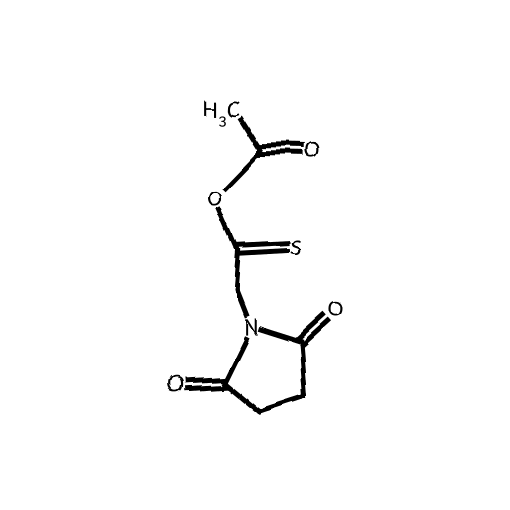 CC(=O)OC(=S)CN1C(=O)CCC1=O